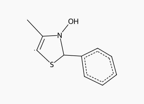 CC1=[C]SC(c2ccccc2)N1O